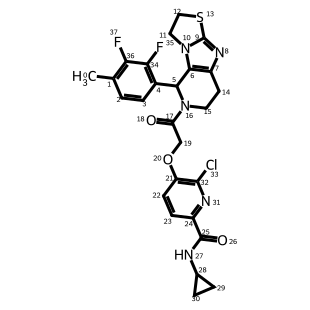 Cc1ccc(C2c3c(nc4n3CCS4)CCN2C(=O)COc2ccc(C(=O)NC3CC3)nc2Cl)c(F)c1F